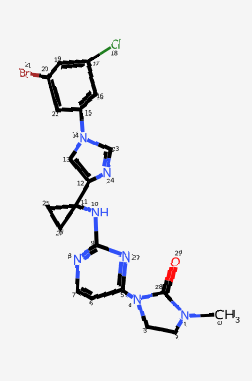 CN1CCN(c2ccnc(NC3(c4cn(-c5cc(Cl)cc(Br)c5)cn4)CC3)n2)C1=O